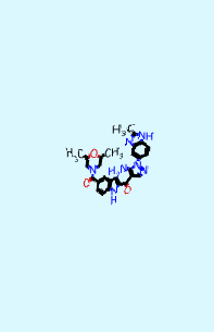 Cc1nc2cc(-n3ncc(C(=O)c4cc5cc(C(=O)N6CC(C)OC(C)C6)ccc5[nH]4)c3N)ccc2[nH]1